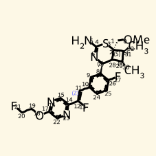 COC[C@@]12SC(N)=N[C@H](c3cc(/C=C(\F)c4cnc(OCCF)cn4)ccc3F)C1[C@H](C)[C@@H]2C